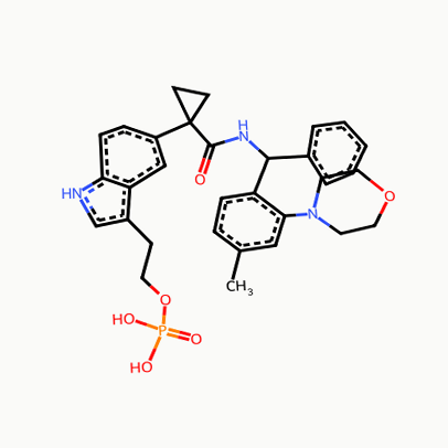 Cc1ccc(C(NC(=O)C2(c3ccc4[nH]cc(CCOP(=O)(O)O)c4c3)CC2)c2ccccc2)c(N2CCOCC2)c1